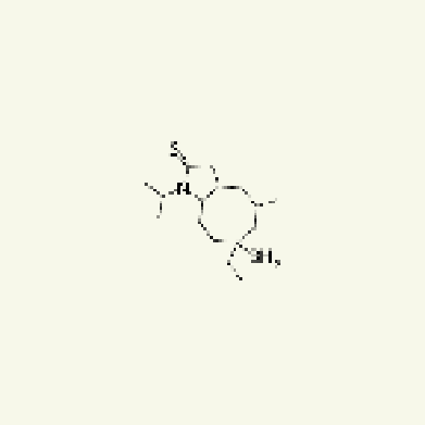 BC1(CC)CCC2C(CC(=S)N2C(C)C)CC(C)C1